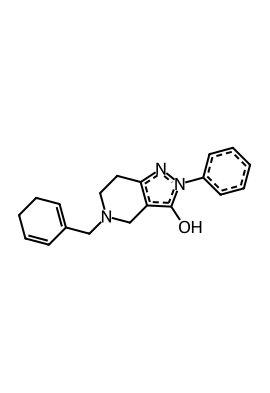 Oc1c2c(nn1-c1ccccc1)CCN(CC1=CCCC=C1)C2